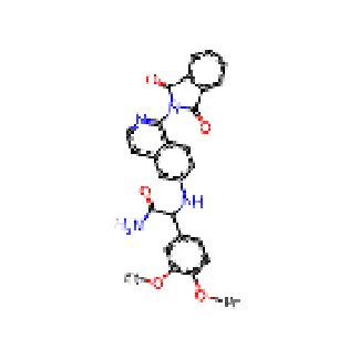 CCOc1cc(C(Nc2ccc3c(N4C(=O)c5ccccc5C4=O)nccc3c2)C(N)=O)ccc1OC(C)C